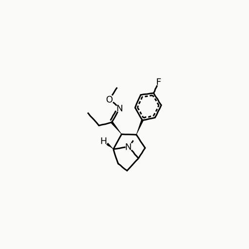 CCC(=NOC)[C@H]1[C@@H](c2ccc(F)cc2)CC2CC[C@H]1N2C